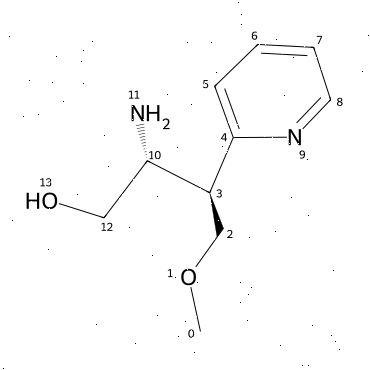 COC[C@H](c1ccccn1)[C@@H](N)CO